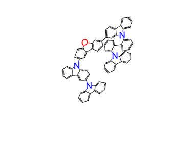 c1ccc(-n2c3ccccc3c3ccccc32)c(-c2ccccc2-n2c3ccccc3c3ccc(-c4ccc5c(c4)oc4ccc(-n6c7ccccc7c7cc(-n8c9ccccc9c9ccccc98)ccc76)cc45)cc32)c1